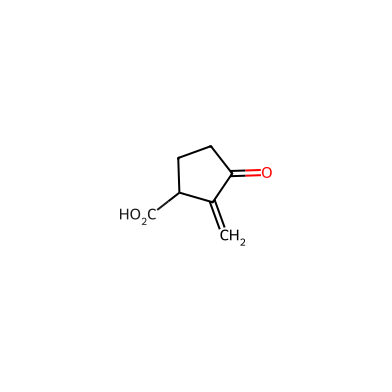 C=C1C(=O)CCC1C(=O)O